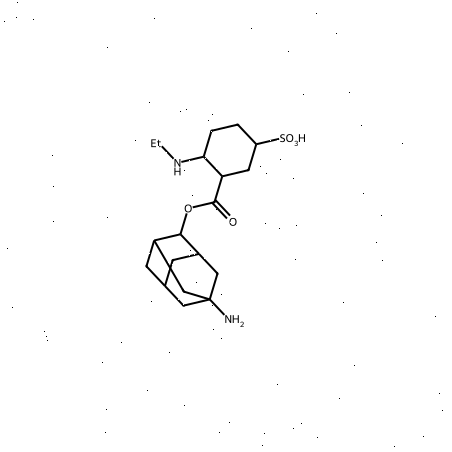 CCNC1CCC(S(=O)(=O)O)CC1C(=O)OC1C2CC3CC1CC(N)(C3)C2